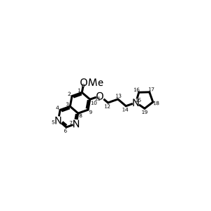 COc1cc2cncnc2cc1OCCCN1CCCC1